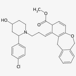 COC(=O)C1C=CC2=C(Cc3ccccc3CO2)C1=CCCN1CCC(O)CC1c1ccc(Cl)cc1